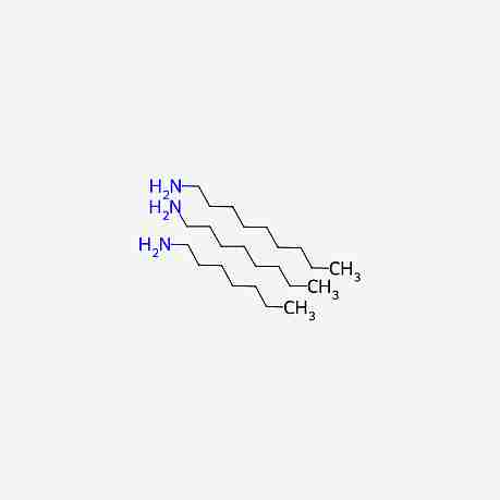 CCCCCCCCCN.CCCCCCCCN.CCCCCCCN